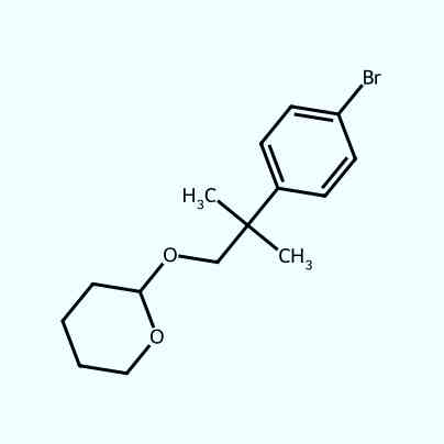 CC(C)(COC1CCCCO1)c1ccc(Br)cc1